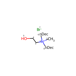 CCCCCCCCCC[N+](C)(CCO)CCCCCCCCCC.[Br-]